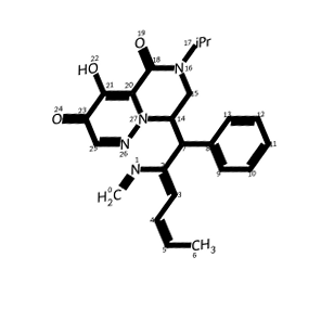 C=N/C(=C\C=C/C)C(c1ccccc1)C1CN(C(C)C)C(=O)c2c(O)c(=O)cnn21